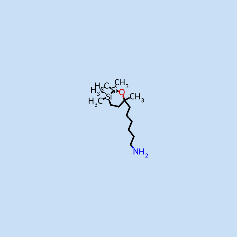 CC1(CCCCCCN)CC[Si](C)(C)[Si](C)(C)O1